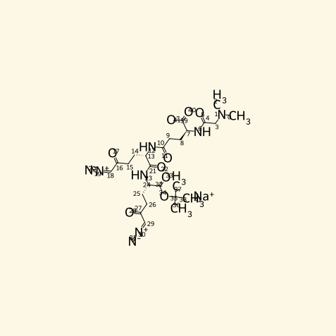 CN(C)CC(=O)N[C@@H](CCC(=O)N[C@@H](CCC(=O)C=[N+]=[N-])C(=O)N[C@@H](CCC(=O)C=[N+]=[N-])C(=O)OC(C)(C)C)C(=O)[O-].[Na+]